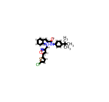 CC(C)(C)c1ccc(NC(=O)c2cc3ccccc3n2Cc2cc(-c3ccc(Cl)s3)on2)cc1